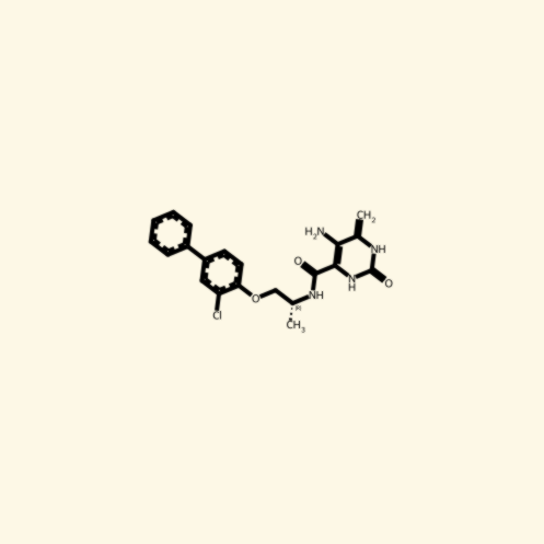 C=C1NC(=O)NC(C(=O)N[C@H](C)COc2ccc(-c3ccccc3)cc2Cl)=C1N